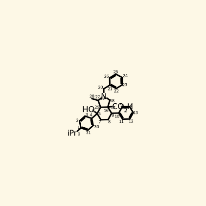 CC(C)c1ccc(C2(O)CCC(c3ccccc3)C3(C(=O)O)CN(Cc4ccccc4)C(C)C23)cc1